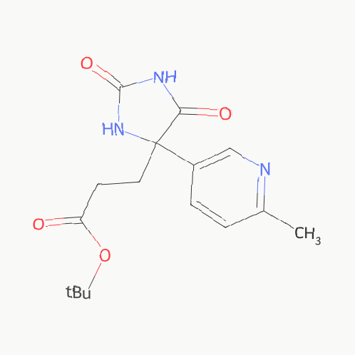 Cc1ccc(C2(CCC(=O)OC(C)(C)C)NC(=O)NC2=O)cn1